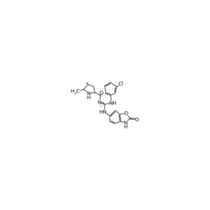 CC1NC(C(=O)/N=C(\Nc2cccc(Cl)c2)Nc2ccc3[nH]c(=O)oc3c2)CS1